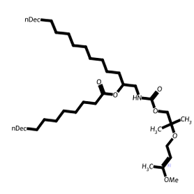 CCCCCCCCCCCCCCCCCCCC(CNC(=O)OCC(C)(C)OC/C=C(\C)OC)OC(=O)CCCCCCCCCCCCCCCCC